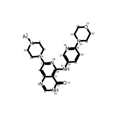 CC(=O)N1CCN(c2cc3nc[nH]c(=O)c3c(Nc3ccc(N4CCOCC4)nc3)n2)CC1